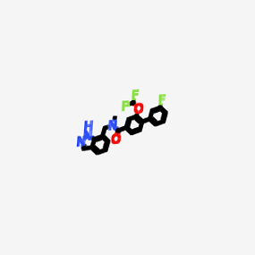 CN(Cc1cccc2cn[nH]c12)C(=O)c1ccc(-c2cccc(F)c2)c(OC(F)F)c1